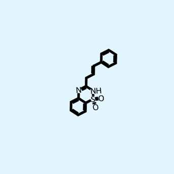 O=S1(=O)NC(CC=Cc2ccccc2)=Nc2ccccc21